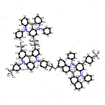 CC(C)(Cc1cccc2c3c(ccc12)B1c2ccc4ccccc4c2N(c2ccccc2)c2cc(-c4ccc([Si](C)(C)C)cc4)cc(c21)N3c1ccccc1)c1ccc(N2c3ccc(C(C)(C)[Si](C)(C)c4cc5c6c(c4)N(c4ccccc4)c4ccccc4B6c4ccccc4N5c4ccccc4)cc3B3c4cc([Si](C)(C)C)ccc4N(c4ccc([Si](C)(C)C)cc4)c4cccc2c43)cc1